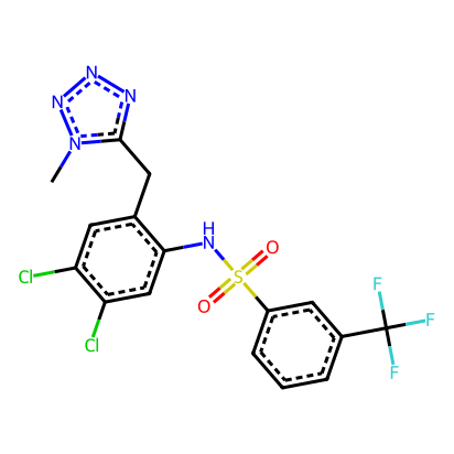 Cn1nnnc1Cc1cc(Cl)c(Cl)cc1NS(=O)(=O)c1cccc(C(F)(F)F)c1